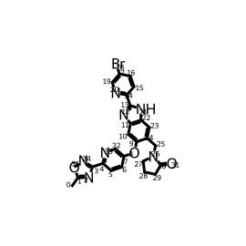 Cc1nc(-c2ccc(Oc3cc4nc(-c5ccc(Br)cn5)[nH]c4cc3CN3CCCC3=O)cn2)no1